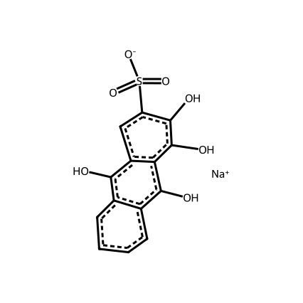 O=S(=O)([O-])c1cc2c(O)c3ccccc3c(O)c2c(O)c1O.[Na+]